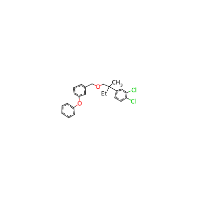 CCC(C)(COCc1cccc(Oc2ccccc2)c1)c1ccc(Cl)c(Cl)c1